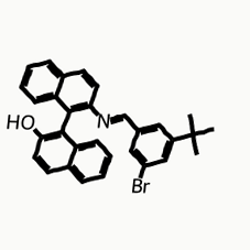 CC(C)(C)c1cc(Br)cc(C=Nc2ccc3ccccc3c2-c2c(O)ccc3ccccc23)c1